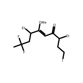 CCC(CCI)C(=O)/C=C(\OC)C(CC)CC(C)(F)F